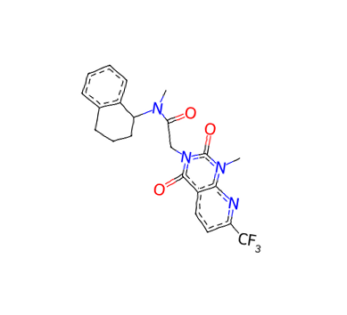 CN(C(=O)Cn1c(=O)c2ccc(C(F)(F)F)nc2n(C)c1=O)C1CCCc2ccccc21